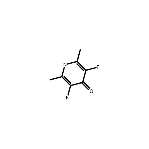 CC1=C(F)C(=O)C(F)=C(C)[N]1